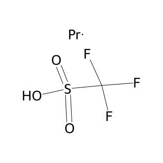 O=S(=O)(O)C(F)(F)F.[Pr]